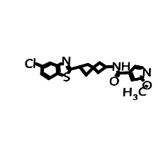 COc1cc(C(=O)NC2CC3(C2)CC(c2nc4cc(Cl)ccc4s2)C3)ccn1